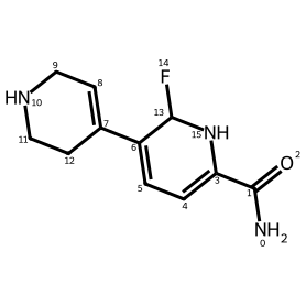 NC(=O)C1=CC=C(C2=CCNCC2)C(F)N1